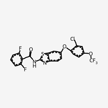 O=C(Nc1nc2ccc(Oc3ccc(OC(F)(F)F)cc3Cl)cc2s1)c1c(F)cccc1F